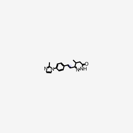 Cc1nccn1-c1ccc(/C=C/C2=NNC(=O)CC2C)cc1